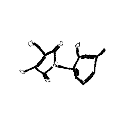 Cc1cccc(N2C(=O)C(Cl)=C(Cl)C2=O)c1Cl